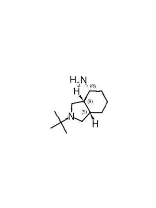 CC(C)(C)N1C[C@H]2CCC[C@@H](N)[C@H]2C1